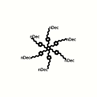 CCCCCCCCCCCCCCCc1ccc(CCc2c(CCc3ccc(CCCCCCCCCCCCCCC)cc3)c(CCc3ccc(CCCCCCCCCCCCCCC)cc3)c(CCc3ccc(CCCCCCCCCCCCCCC)cc3)c(CCc3ccc(CCCCCCCCCCCCCCC)cc3)c2CCc2ccc(CCCCCCCCCCCCCCC)cc2)cc1